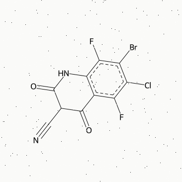 N#CC1C(=O)Nc2c(F)c(Br)c(Cl)c(F)c2C1=O